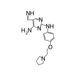 N=Cc1cnc(Nc2ccc(OCCN3CCCC3)cc2)nc1N